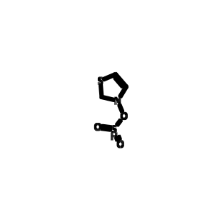 O=[SH](=O)ON1C=CSC1